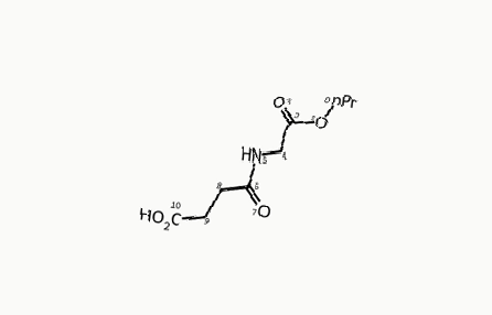 CCCOC(=O)CNC(=O)CCC(=O)O